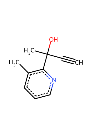 C#CC(C)(O)c1ncccc1C